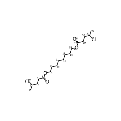 CC(Cl)CCC(=O)OCCCCCCCCOC(=O)CCC(C)Cl